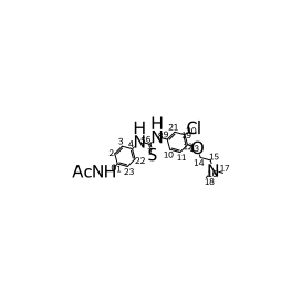 CC(=O)Nc1ccc(NC(=S)Nc2ccc(OCCN(C)C)c(Cl)c2)cc1